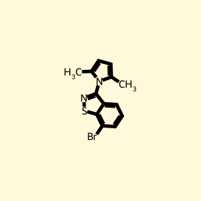 Cc1ccc(C)n1-c1nsc2c(Br)cccc12